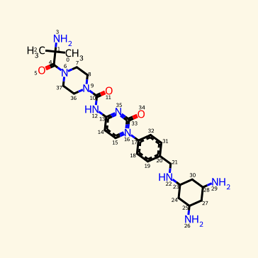 CC(C)(N)C(=O)N1CCN(C(=O)Nc2ccn(-c3ccc(CNC4CC(N)CC(N)C4)cc3)c(=O)n2)CC1